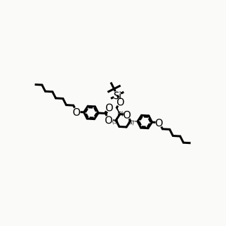 CCCCCCCCOc1ccc(C(=O)O[C@H]2CC[C@@H](c3ccc(OCCCCCC)cc3)O[C@@H]2CO[Si](C)(C)C(C)(C)C)cc1